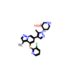 Cc1c(-c2cc(Sc3ncccc3F)c3c(C#N)cnn3c2)cnn1[C@@H]1CCNC[C@@H]1O